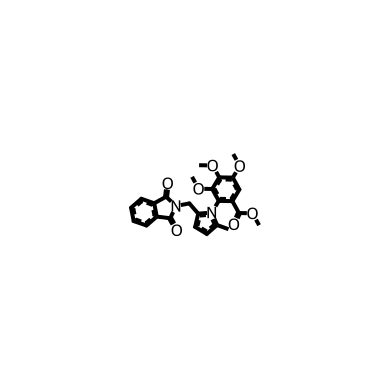 COC(=O)c1cc(OC)c(OC)c(OC)c1-n1c(C)ccc1CN1C(=O)c2ccccc2C1=O